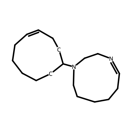 C1=CCCC(N2CCCCCC=NCC2)CCCCC1